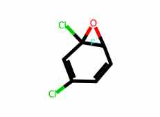 FC12C=CC(Cl)=CC1(Cl)O2